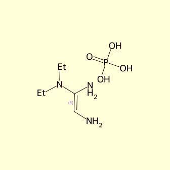 CCN(CC)/C(N)=C/N.O=P(O)(O)O